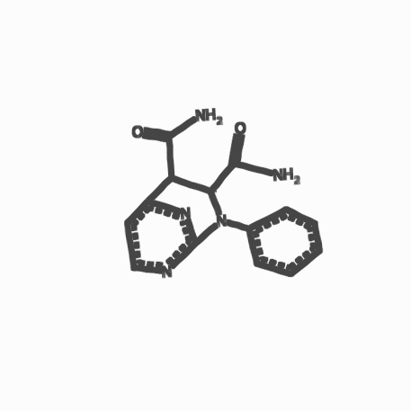 NC(=O)[C]1C(C(N)=O)c2ccnc(n2)N1c1ccccc1